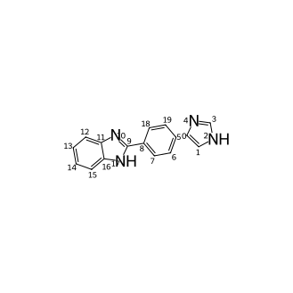 c1c[nH]cn1.c1ccc(-c2nc3ccccc3[nH]2)cc1